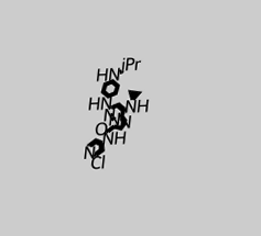 CC(C)CN[C@H]1CC[C@H](NC2=NN3C(=NCC3C(=O)Nc3ccnc(Cl)c3)C(NC3CC3)=C2)CC1